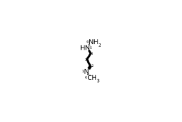 C/N=C/CCNN